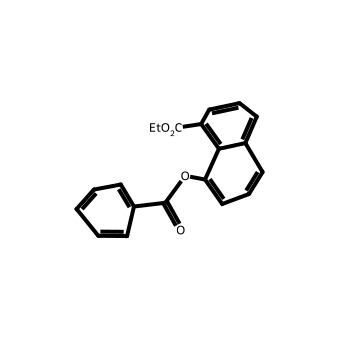 CCOC(=O)c1cccc2cccc(OC(=O)c3ccccc3)c12